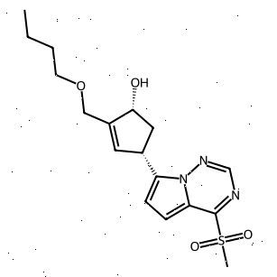 CCCCOCC1=C[C@@H](c2ccc3c(S(C)(=O)=O)ncnn23)C[C@H]1O